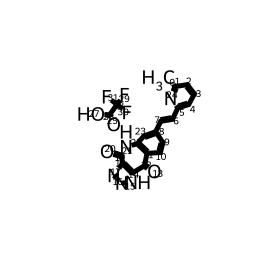 Cc1cccc(/C=C/c2ccc3c(=O)c4[nH]nnc4c(=O)[nH]c3c2)n1.O=C(O)C(F)(F)F